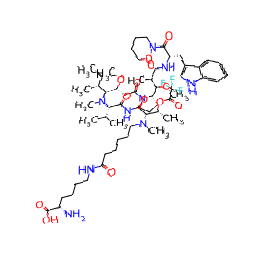 CC[C@H](C)[C@@H]([C@@H](CC(=O)N1CCC[C@H]1[C@H](OC)[C@@H](C)C(=O)N[C@@H](Cc1c[nH]c2ccccc12)C(=O)N1CCCCO1)OC)N(C)[C@H](C(=O)NC(=O)[C@H]([C@@H](C)OC(=O)C(F)(F)F)N(C)CCCCCC(=O)NCCCC[C@H](N)C(=O)O)C(C)C